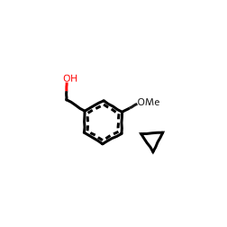 C1CC1.COc1cccc(CO)c1